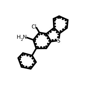 Nc1c(-c2ccccc2)cc2sc3ccccc3c2c1Cl